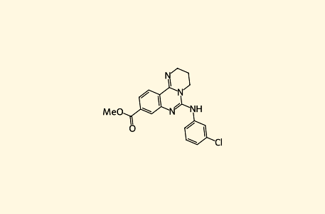 COC(=O)c1ccc2c(c1)N=C(Nc1cccc(Cl)c1)N1CCCN=C21